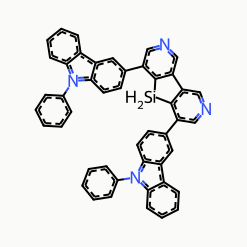 c1ccc(-n2c3ccccc3c3cc(-c4cncc5c4[SiH2]c4c(-c6ccc7c(c6)c6ccccc6n7-c6ccccc6)cncc4-5)ccc32)cc1